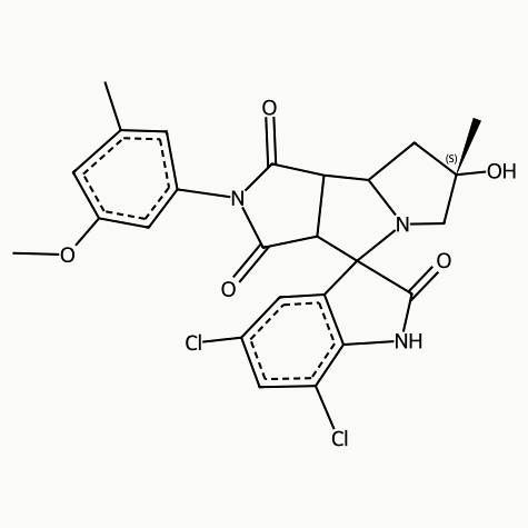 COc1cc(C)cc(N2C(=O)C3C4C[C@](C)(O)CN4C4(C(=O)Nc5c(Cl)cc(Cl)cc54)C3C2=O)c1